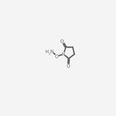 NON1C(=O)CCC1=O